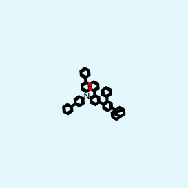 c1ccc(-c2ccc(N(c3ccc(-c4ccccc4)cc3)c3ccc(-c4ccc(C56CC7CC(CC(C7)C5)C6)cc4-c4ccccc4)cc3-c3ccccc3)cc2)cc1